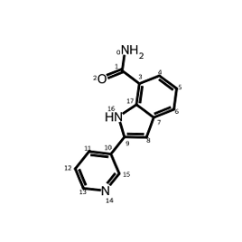 NC(=O)c1cccc2cc(-c3cccnc3)[nH]c12